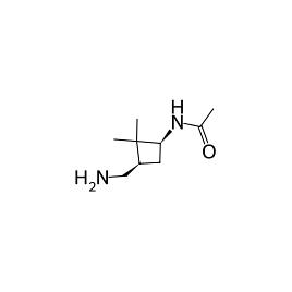 CC(=O)N[C@H]1C[C@@H](CN)C1(C)C